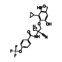 CC(C#N)(COc1c(O)cc2c(c1C1CC1)BOC2)NC(=O)c1ccc(OC(F)(F)F)cc1